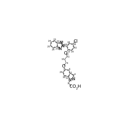 O=C(O)Cn1ncc2cc(OCCCOc3ccc(Cl)cc3-n3nc4ccccc4n3)ccc21